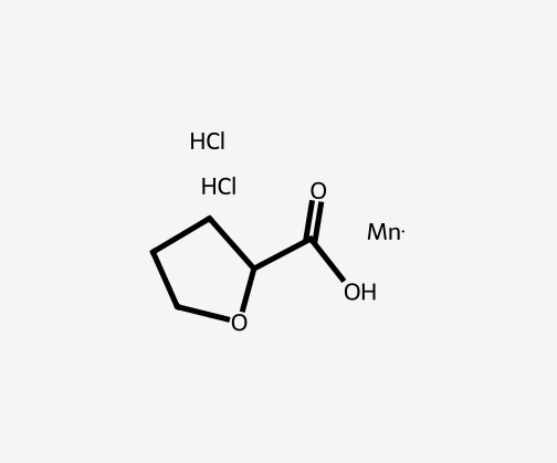 Cl.Cl.O=C(O)C1CCCO1.[Mn]